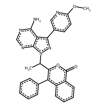 COc1ccc(-c2nn(C(C)c3oc(=O)c4ccccc4c3-c3ccccc3)c3ncnc(N)c23)cn1